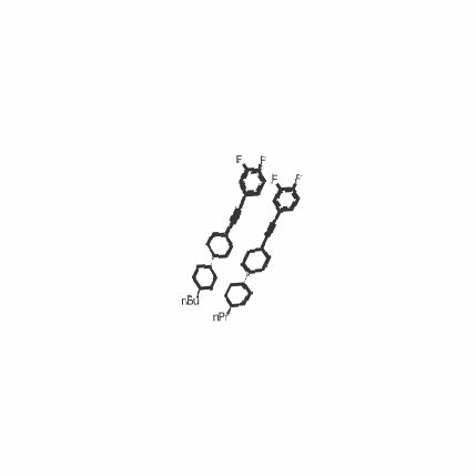 CCCC[C@H]1CC[C@H](C2CCC(C#Cc3ccc(F)c(F)c3)CC2)CC1.CCC[C@H]1CC[C@H](C2CCC(C#Cc3ccc(F)c(F)c3)CC2)CC1